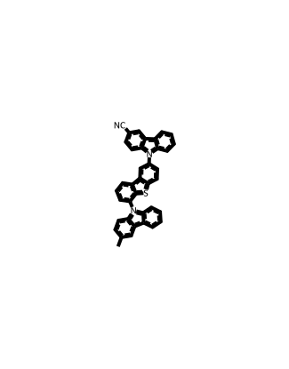 Cc1ccc2c(c1)c1ccccc1n2-c1cccc2c1sc1ccc(-n3c4ccccc4c4cc(C#N)ccc43)cc12